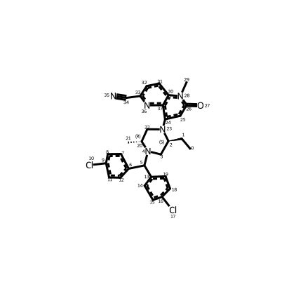 CC[C@H]1CN(C(c2ccc(Cl)cc2)c2ccc(Cl)cc2)[C@H](C)CN1c1cc(=O)n(C)c2ccc(C#N)nc12